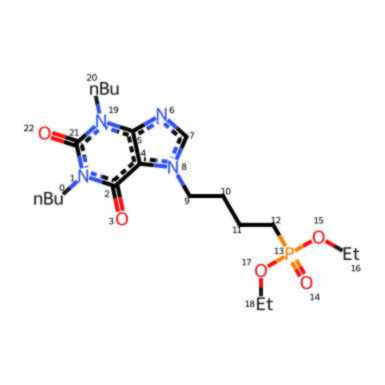 CCCCn1c(=O)c2c(ncn2CCCCP(=O)(OCC)OCC)n(CCCC)c1=O